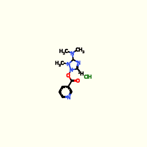 Cl.[2H]C1=NC(N(C)C)N(C)N1OC(=O)c1cccnc1